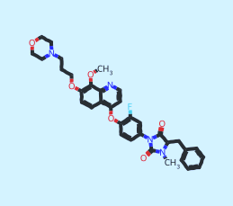 COc1c(OCCCN2CCOCC2)ccc2c(Oc3ccc(N4C(=O)C(Cc5ccccc5)N(C)C4=O)cc3F)ccnc12